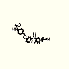 CC(=O)NC1CCC(COc2ccnc(Nc3cn(C(C)(C)C#N)nc3C)n2)CC1